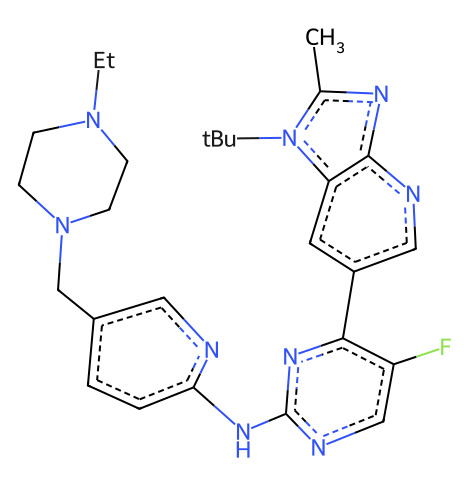 CCN1CCN(Cc2ccc(Nc3ncc(F)c(-c4cnc5nc(C)n(C(C)(C)C)c5c4)n3)nc2)CC1